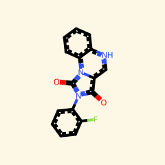 O=c1c2c[nH]c3ccccc3n-2c(=O)n1-c1ccccc1F